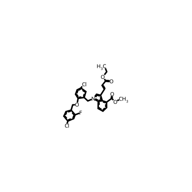 CCOC(=O)C=Cc1cn(Cc2cc(Cl)ccc2OCc2ccc(Cl)cc2F)c2cccc(C(=O)OC)c12